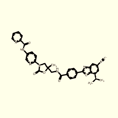 [C-]#[N+]c1cc(C(C)C)c2oc(-c3ccc(C(=O)NCC4(C)CN(c5ccc(NC(=O)c6ccccn6)cn5)C(=O)O4)cc3)nc2c1